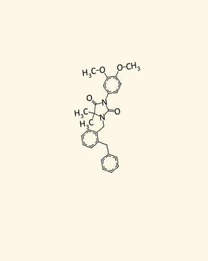 COc1ccc(N2C(=O)N(Cc3ccccc3Cc3ccccc3)C(C)(C)C2=O)cc1OC